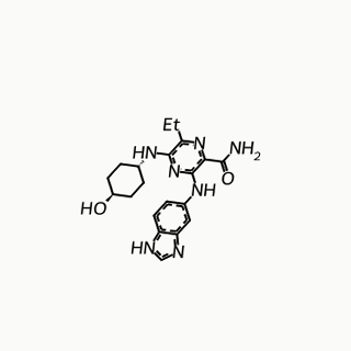 CCc1nc(C(N)=O)c(Nc2ccc3[nH]cnc3c2)nc1N[C@H]1CC[C@H](O)CC1